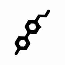 CCCc1[c]cc(-c2ccc(C)cc2)cc1